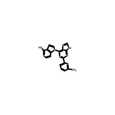 Cc1cccc(-c2nc(-n3ccc4c(O)nccc43)c3nc[nH]c3n2)n1